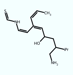 C\C=C/C(/C=C\NC=S)=C/C(O)CC(CN)C(C)C